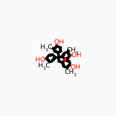 Cc1cc(CC(c2ccc(O)c(C)c2)(c2ccc(O)c(C)c2)c2ccc(O)c(C)c2)ccc1O